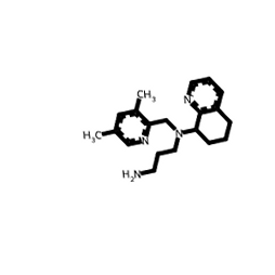 Cc1cnc(CN(CCCN)C2CCCc3cccnc32)c(C)c1